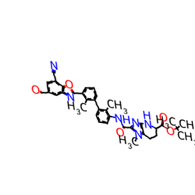 Cc1c(NC(=O)c2nc3c(n2C)CCC(C(=O)OC(C)(C)C)N3)cccc1-c1cccc(-c2nc3cc(C=O)cc(C#N)c3o2)c1C